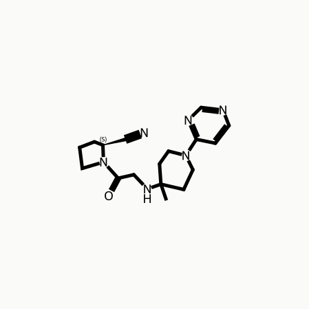 CC1(NCC(=O)N2CCC[C@H]2C#N)CCN(c2ccncn2)CC1